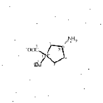 CC(C)(C)[N+]1(C(=O)[O-])CC[C@@H](N)C1